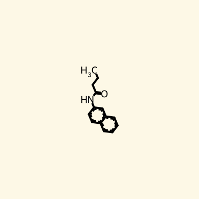 CCCC(=O)Nc1ccc2ccccc2c1